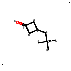 CC(C)(C)CC1CC(=O)C1